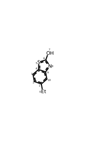 CCc1ccc2sc(O)nc2c1